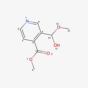 COC(=O)c1ccncc1C(O)OC